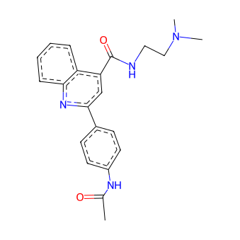 CC(=O)Nc1ccc(-c2cc(C(=O)NCCN(C)C)c3ccccc3n2)cc1